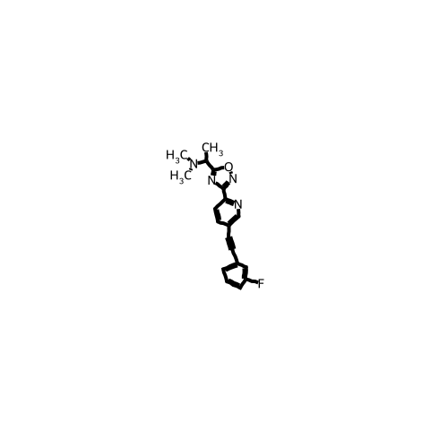 CC(c1nc(-c2ccc(C#Cc3cccc(F)c3)cn2)no1)N(C)C